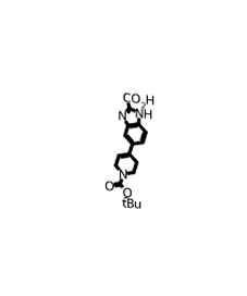 CC(C)(C)OC(=O)N1CC=C(c2ccc3[nH]c(C(=O)O)nc3c2)CC1